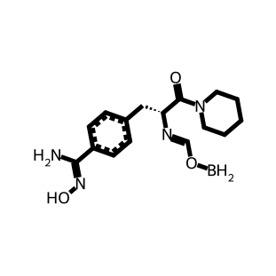 BOC=N[C@H](Cc1ccc(C(N)=NO)cc1)C(=O)N1CCCCC1